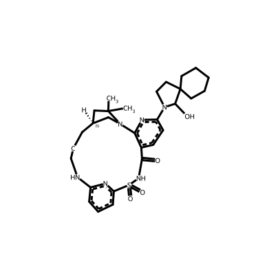 CC1(C)C[C@@H]2CCCNc3cccc(n3)S(=O)(=O)NC(=O)c3ccc(N4CCC5(CCCCC5)C4O)nc3N1C2